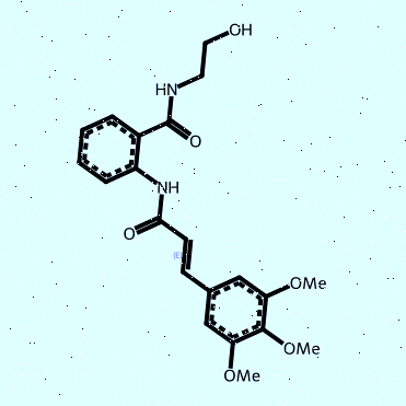 COc1cc(/C=C/C(=O)Nc2ccccc2C(=O)NCCO)cc(OC)c1OC